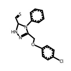 S=CC1NN=C(COc2ccc(Cl)cc2)N1c1ccccc1